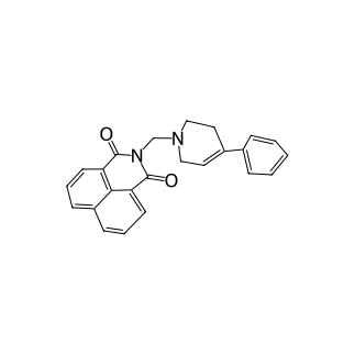 O=C1c2cccc3cccc(c23)C(=O)N1CN1CC=C(c2ccccc2)CC1